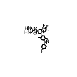 CN/N=C(\C=N)S(=O)(=O)N1CCN(C[C@@H](C)C(F)(F)F)[C@H](c2cc3cnn(-c4ccc(F)cc4)c3cc2C)C1